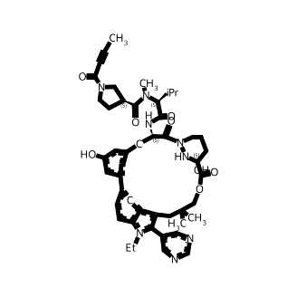 CC#CC(=O)N1CC[C@H](C(=O)N(C)[C@H](C(=O)N[C@H]2Cc3cc(O)cc(c3)-c3ccc4c(c3)c(c(-c3cncnc3)n4CC)CC(C)(C)COC(=O)[C@@]3(O)CCCN(N3)C2=O)C(C)C)C1